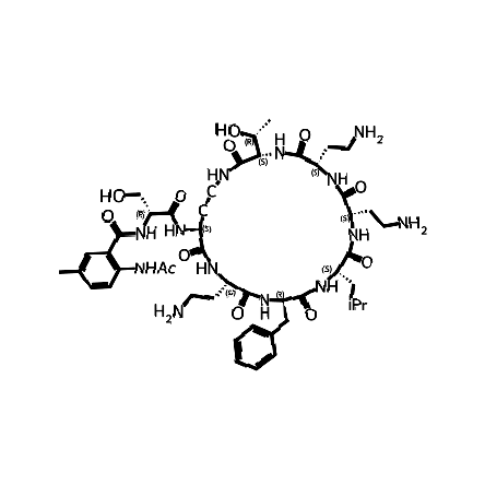 CC(=O)Nc1ccc(C)cc1C(=O)N[C@H](CO)C(=O)N[C@H]1CCNC(=O)[C@H]([C@@H](C)O)NC(=O)[C@H](CCN)NC(=O)[C@H](CCN)NC(=O)[C@H](CC(C)C)NC(=O)[C@@H](Cc2ccccc2)NC(=O)[C@H](CCN)NC1=O